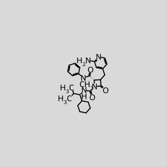 CC(C)[C@@H](NC(=O)N1C(=O)C(Cc2ccnc(N)c2)[C@H]1C(=O)N(C)c1ccccc1)C1CCCCC1